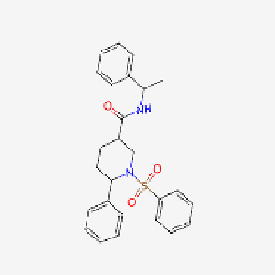 CC(NC(=O)C1CCC(c2ccccc2)N(S(=O)(=O)c2ccccc2)C1)c1ccccc1